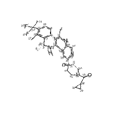 Cc1nc(N[C@H](C)c2cccc(C(F)(F)F)c2C)c2cc(P3(=O)CCN(C(=O)C4CC4)CC3)ncc2n1